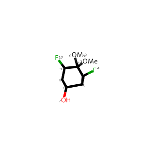 COC1(OC)C(F)CC(O)CC1F